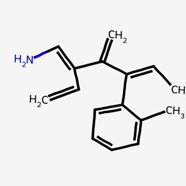 C=C/C(=C\N)C(=C)/C(=C/C)c1ccccc1C